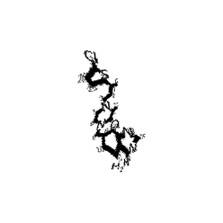 C/C(=C/CN1CCN(Cc2ccc3c(N)ncnc3c2)C(=O)C1C)c1ccc(Cl)s1